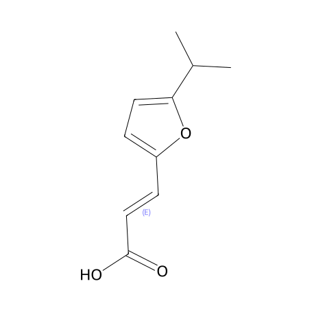 CC(C)c1ccc(/C=C/C(=O)O)o1